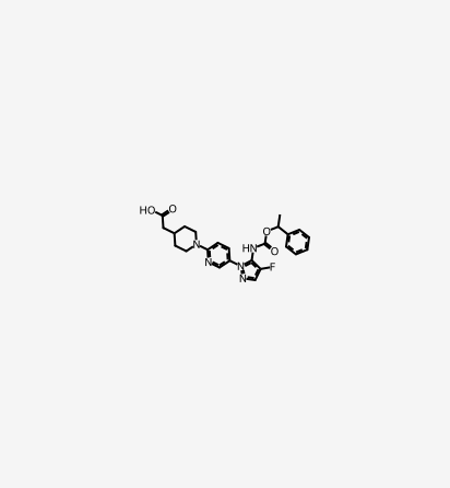 CC(OC(=O)Nc1c(F)cnn1-c1ccc(N2CCC(CC(=O)O)CC2)nc1)c1ccccc1